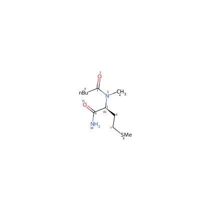 CCCCC(=O)N(C)[C@@H](CCSC)C(N)=O